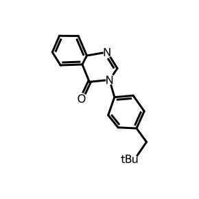 CC(C)(C)Cc1ccc(-n2cnc3ccccc3c2=O)cc1